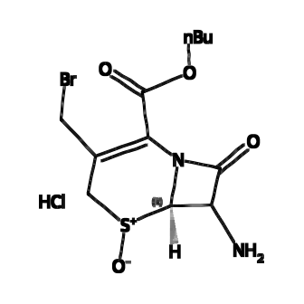 CCCCOC(=O)C1=C(CBr)C[S+]([O-])[C@@H]2C(N)C(=O)N12.Cl